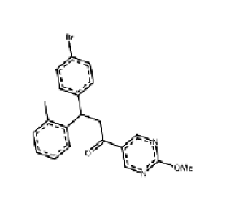 COc1ncc(C(=O)CC(c2ccc(Br)cc2)c2ccccc2C)cn1